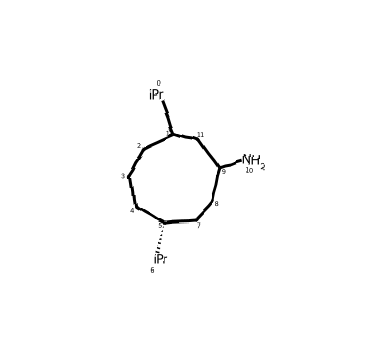 CC(C)C1CCC[C@@H](C(C)C)CCC(N)C1